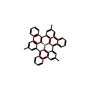 Cc1cc(-c2ccccc2)c([O][Al]([O]c2c(-c3ccccc3)cc(C)cc2-c2ccccc2)[O]c2c(-c3ccccc3)cc(C)cc2-c2ccccc2)c(-c2ccccc2)c1